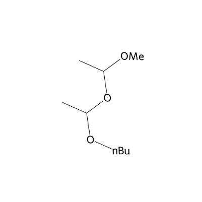 CCCCOC(C)OC(C)OC